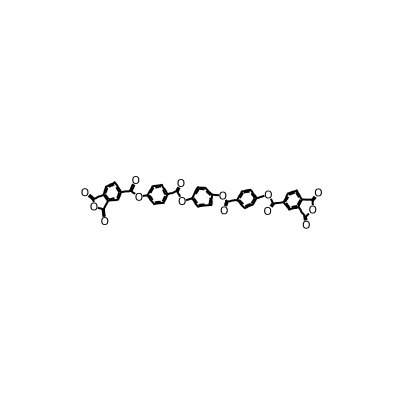 O=C(Oc1ccc(OC(=O)c2ccc(OC(=O)c3ccc4c(c3)C(=O)OC4=O)cc2)cc1)c1ccc(OC(=O)c2ccc3c(c2)C(=O)OC3=O)cc1